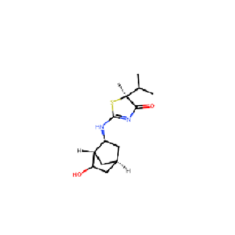 CC(C)[C@]1(C)SC(N[C@H]2C[C@H]3CC(O)[C@H]2C3)=NC1=O